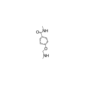 CNCOc1ccc(C(=O)NC)cc1